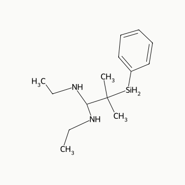 CCNC(NCC)C(C)(C)[SiH2]c1ccccc1